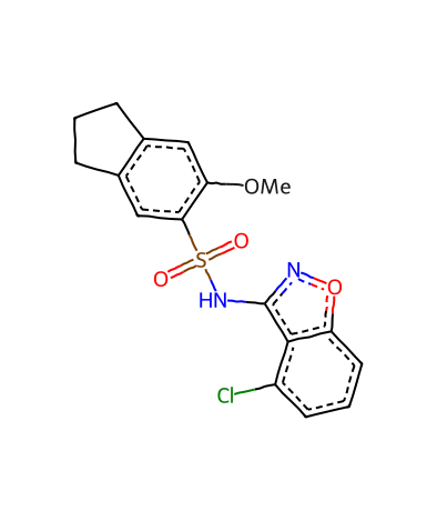 COc1cc2c(cc1S(=O)(=O)Nc1noc3cccc(Cl)c13)CCC2